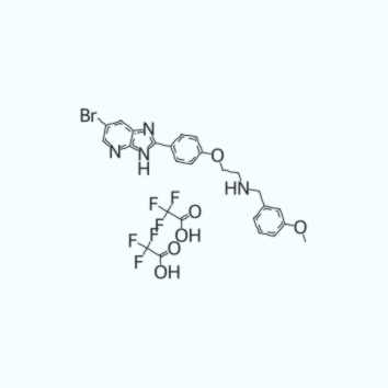 COc1cccc(CNCCOc2ccc(-c3nc4cc(Br)cnc4[nH]3)cc2)c1.O=C(O)C(F)(F)F.O=C(O)C(F)(F)F